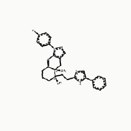 C[C@]12Cc3cnn(-c4ccc(F)cc4)c3C=C1CCC[C@@]2(O)CCc1ncc(-c2ccccc2)[nH]1